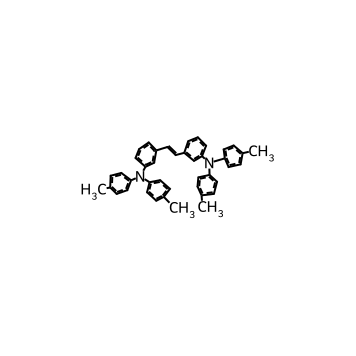 Cc1ccc(N(c2ccc(C)cc2)c2cccc(C=Cc3cccc(N(c4ccc(C)cc4)c4ccc(C)cc4)c3)c2)cc1